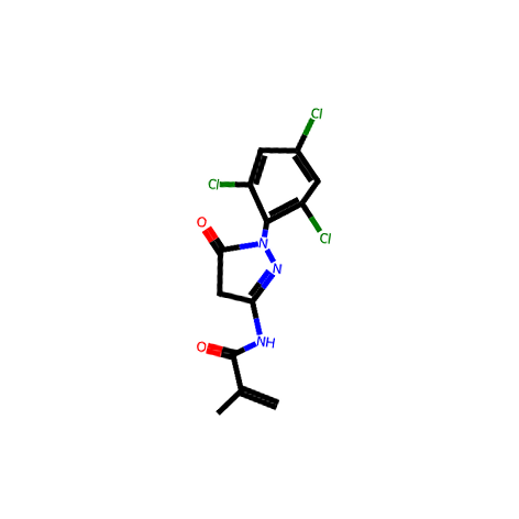 C=C(C)C(=O)NC1=NN(c2c(Cl)cc(Cl)cc2Cl)C(=O)C1